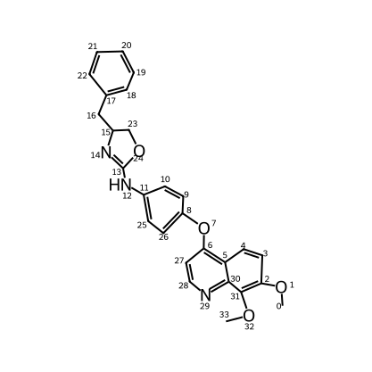 COc1ccc2c(Oc3ccc(NC4=NC(Cc5ccccc5)CO4)cc3)ccnc2c1OC